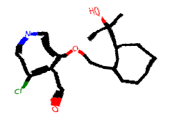 CC(C)(O)C1CCCCC1COc1cncc(Cl)c1C=O